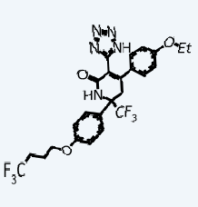 CCOc1ccc(C2=C(c3nnn[nH]3)C(=O)NC(c3ccc(OCCCC(F)(F)F)cc3)(C(F)(F)F)C2)cc1